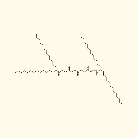 CCCCCCCCCCCCCC(CCCCCCCCCCCCC)NCCNCCNCCNCCNC(CCCCCCCCCCCCC)CCCCCCCCCCCCC